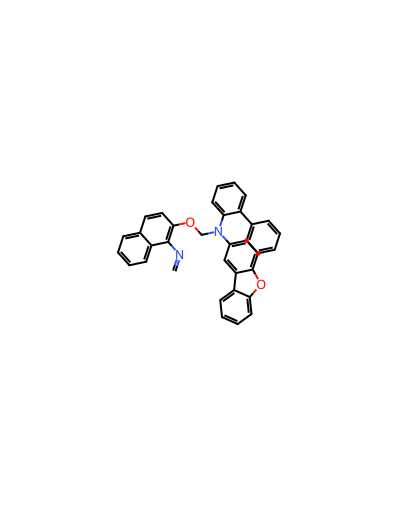 C=Nc1c(OCN(c2ccc3oc4ccccc4c3c2)c2ccccc2-c2ccccc2)ccc2ccccc12